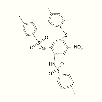 Cc1ccc(Sc2cc(NS(=O)(=O)c3ccc(C)cc3)c(NS(=O)(=O)c3ccc(C)cc3)cc2[N+](=O)[O-])cc1